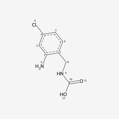 Nc1cc(Cl)ccc1CNC(=O)O